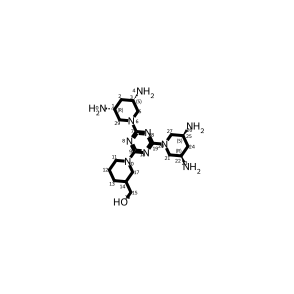 N[C@@H]1C[C@H](N)CN(c2nc(N3CCCC(CO)C3)nc(N3C[C@H](N)C[C@H](N)C3)n2)C1